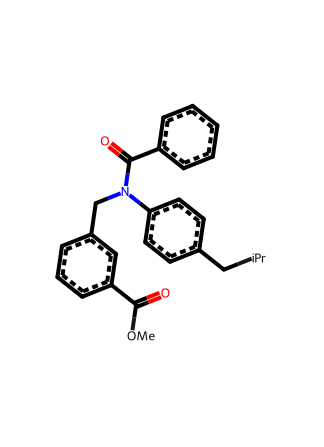 COC(=O)c1cccc(CN(C(=O)c2ccccc2)c2ccc(CC(C)C)cc2)c1